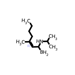 BC(/C=C(/C)CCCC)NC(C)C